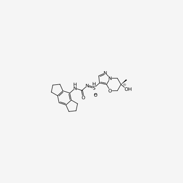 C[C@@]1(O)COc2c([SH](=O)=NC(=O)Nc3c4c(cc5c3CCC5)CCC4)cnn2C1